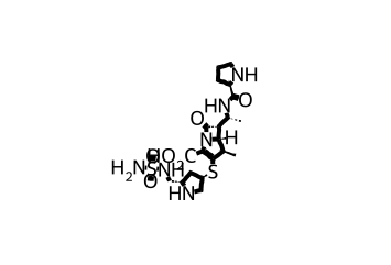 C[C@@H](NC(=O)[C@H]1CCCN1)[C@H]1C(=O)N2C(C(=O)O)=C(S[C@@H]3CN[C@H](CNS(N)(=O)=O)C3)[C@H](C)[C@H]12